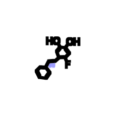 Oc1cc(F)c(/C=C/c2ccccc2)cc1O